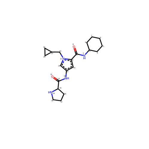 O=C(NC1CCCCC1)c1cc(NC(=O)C2CCCN2)cn1CC1CC1